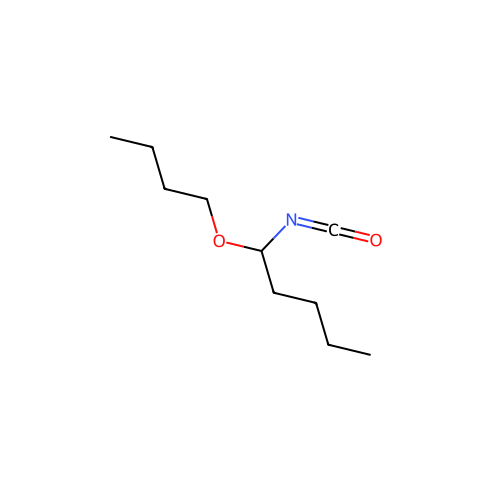 CCCCOC(CCCC)N=C=O